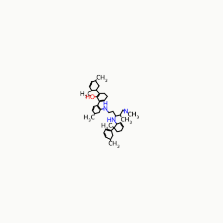 C/N=C\C(C)C(CCNC1=C(C2=CCCC(C3CC(C)C=CC3C)=C2O)C=CC(C)C1)NC1C=CCCC1(C)C1=CC=CC(C)C1